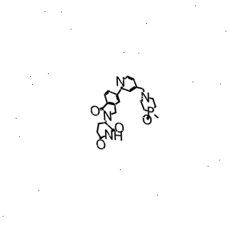 CP1(=O)CCN(Cc2ccnc(-c3ccc4c(c3)CN(C3CCC(=O)NC3=O)C4=O)c2)CC1